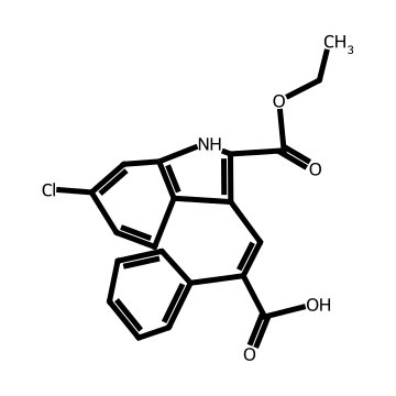 CCOC(=O)c1[nH]c2cc(Cl)ccc2c1/C=C(/C(=O)O)c1ccccc1